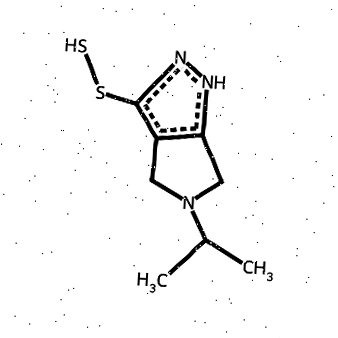 CC(C)N1Cc2[nH]nc(SS)c2C1